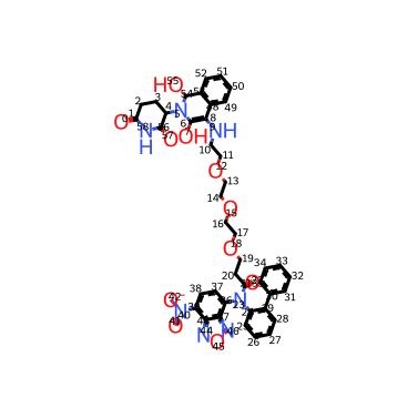 O=C1CCC(N2C(O)=C(NCCOCCOCCOCCC(=O)N(c3ccccc3-c3ccccc3)c3ccc([N+](=O)[O-])c4nonc34)c3ccccc3C2O)C(=O)N1